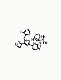 O=C(O)[C@@]1(Nc2nc(-c3cc(-c4ccon4)n(Cc4ccccc4F)n3)ncc2F)C[C@@H]2CC[C@H]1C2